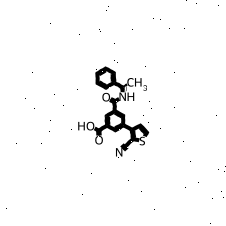 C[C@@H](NC(=O)c1cc(C(=O)O)cc(-c2ccsc2C#N)c1)c1ccccc1